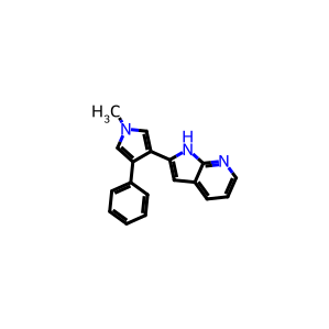 Cn1cc(-c2ccccc2)c(-c2cc3cccnc3[nH]2)c1